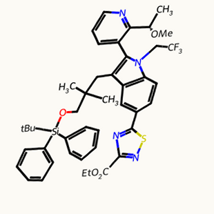 CCOC(=O)c1nsc(-c2ccc3c(c2)c(CC(C)(C)CO[Si](c2ccccc2)(c2ccccc2)C(C)(C)C)c(-c2cccnc2[C@H](C)OC)n3CC(F)(F)F)n1